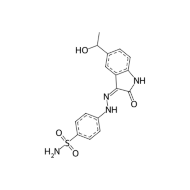 CC(O)c1ccc2c(c1)/C(=N/Nc1ccc(S(N)(=O)=O)cc1)C(=O)N2